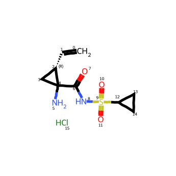 C=C[C@H]1CC1(N)C(=O)NS(=O)(=O)C1CC1.Cl